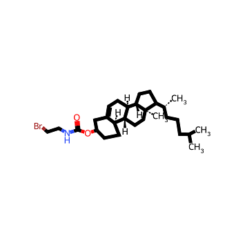 CC(C)CCC[C@@H](C)C1CC[C@H]2[C@@H]3CC=C4CC(OC(=O)NCCBr)CC[C@@H]4[C@H]3CC[C@]12C